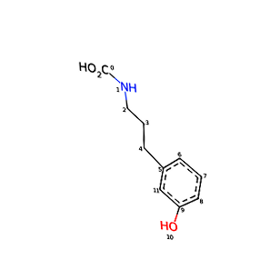 O=C(O)NCCCc1cccc(O)c1